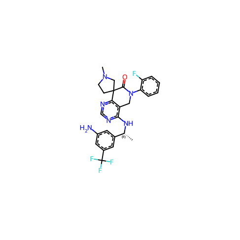 C[C@@H](Nc1ncnc2c1CN(c1ccccc1F)C(=O)C21CCN(C)C1)c1cc(N)cc(C(F)(F)F)c1